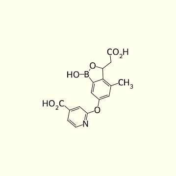 Cc1cc(Oc2cc(C(=O)O)ccn2)cc2c1C(CC(=O)O)OB2O